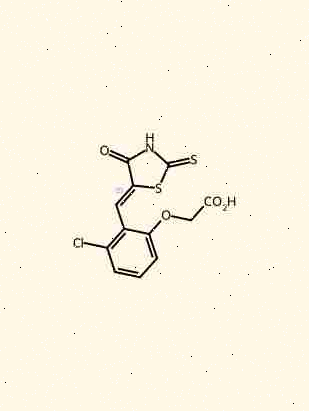 O=C(O)COc1cccc(Cl)c1/C=C1\SC(=S)NC1=O